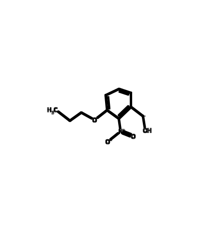 CCCOc1cccc([CH]O)c1[N+](=O)[O-]